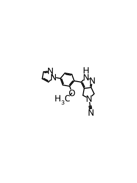 COc1cc(-n2cccn2)ccc1-c1[nH]nc2c1CN(C#N)C2